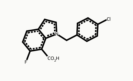 O=C(O)c1c(F)ccc2ccn(Cc3ccc(Cl)cc3)c12